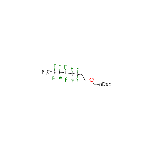 CCCCCCCCCCCOCCC(F)(F)C(F)(F)C(F)(F)C(F)(F)C(F)(F)C(F)(F)F